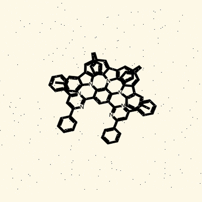 Cc1ccc2c(c1)c1cc(C)ccc1n2-c1c(-c2nc(-c3ccccc3)cc(-c3ccccc3)n2)cc(-c2nc(-c3ccccc3)cc(-c3ccccc3)n2)c(-n2c3ccc(C)cc3c3cc(C)ccc32)c1-n1c2ccc(C)cc2c2cc(C)ccc21